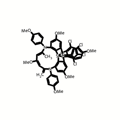 C=C1/C=C(OC)\C=C(/C)N(c2ccc(OC)cc2)c2cc(OC)cc3c2[Si]2(Oc4c(Cl)c(Cl)c(Cl)c(Cl)c4O2)c2c(cc(OC)cc2N3c2ccc(OC)cc2)N1c1ccc(OC)cc1